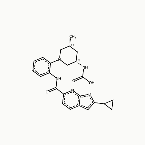 C[C@@H]1C[C@H](NC(=O)O)CN(c2ccncc2NC(=O)c2ccc3cc(C4CC4)oc3n2)C1